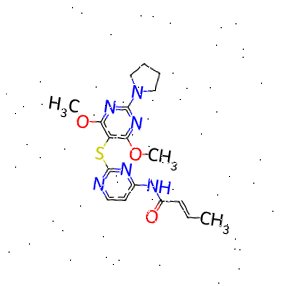 CC=CC(=O)Nc1ccnc(Sc2c(OC)nc(N3CCCC3)nc2OC)n1